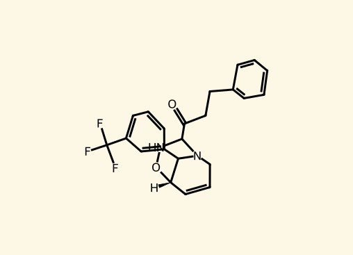 O=C(CCc1ccccc1)C1NO[C@H]2C=CCN1C2c1cccc(C(F)(F)F)c1